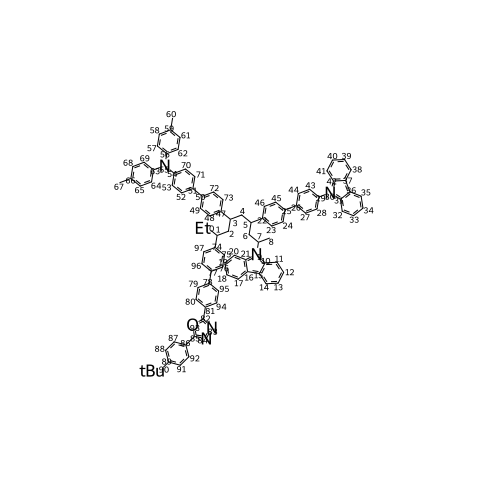 CCC(CC(CC(CC(C)n1c2ccccc2c2ccccc21)c1ccc(-c2ccc(-n3c4ccccc4c4ccccc43)cc2)cc1)c1ccc(-c2ccc(N(c3ccc(C)cc3)c3ccc(C)cc3)cc2)cc1)c1ccc(-c2ccc(-c3nnc(-c4ccc(C(C)(C)C)cc4)o3)cc2)cc1